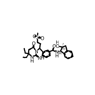 CCC1(CC)CC(=O)N(C(CCS(C)(=O)=O)c2cccc(C(=O)N[C@@H]3c4ccccc4C[C@]3(C)O)c2)C(=N)N1